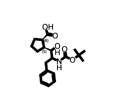 CC(C)(C)OC(=O)NC(Cc1ccccc1)C(O)[C@H]1CCC[C@H]1C(=O)O